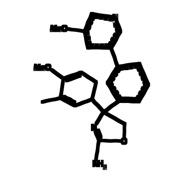 COC1=CCC(C2(c3cccc(-c4cncc(OC)c4)c3)COC(N)=N2)C=C1C